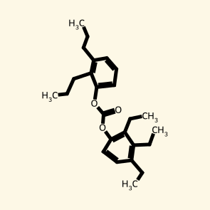 CCCc1cccc(OC(=O)Oc2ccc(CC)c(CC)c2CC)c1CCC